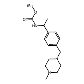 CC(NC(=O)OC(C)(C)C)c1ccc(CN2CCN(C)CC2)cc1